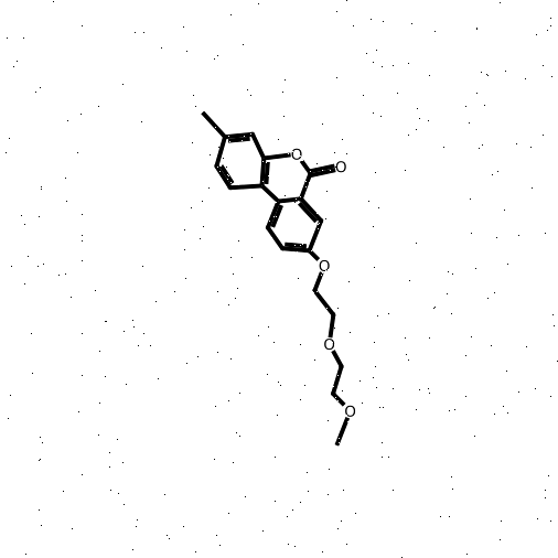 COCCOCCOc1ccc2c(c1)c(=O)oc1cc(C)ccc12